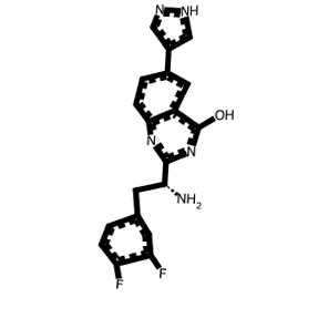 N[C@H](Cc1ccc(F)c(F)c1)c1nc(O)c2cc(-c3cn[nH]c3)ccc2n1